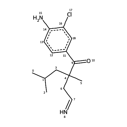 CC(C)CC(C)(CC=N)C(=O)c1ccc(N)c(Cl)c1